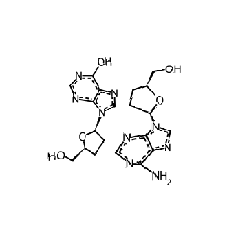 Nc1ncnc2c1ncn2[C@H]1CC[C@@H](CO)O1.OC[C@@H]1CC[C@H](n2cnc3c(O)ncnc32)O1